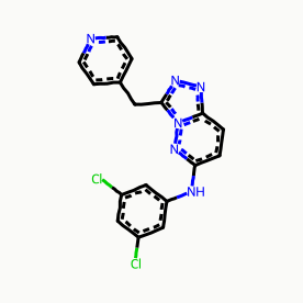 Clc1cc(Cl)cc(Nc2ccc3nnc(Cc4ccncc4)n3n2)c1